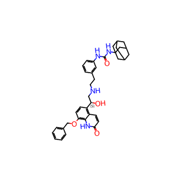 O=C(Nc1cccc(CCNC[C@@H](O)c2ccc(OCc3ccccc3)c3[nH]c(=O)ccc23)c1)NC12CC3CC(CC(C3)C1)C2